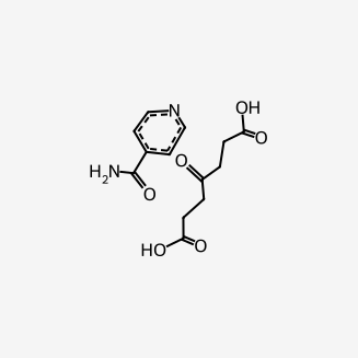 NC(=O)c1ccncc1.O=C(O)CCC(=O)CCC(=O)O